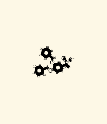 C=C(c1ccc(OCc2ccccc2)c(OCc2ccccc2)c1)[N+](=O)[O-]